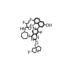 CCc1c(F)ccc2cc(O)cc(-c3ncc4c(N5CCCC[C@@H](NC(=O)C(F)F)C5)nc(OC[C@@]56CCCN5C[C@H](F)C6)nc4c3F)c12